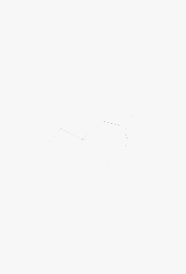 CCCC[S+](C)C.[Cl-]